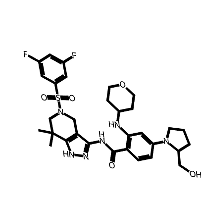 CC1(C)CN(S(=O)(=O)c2cc(F)cc(F)c2)Cc2c(NC(=O)c3ccc(N4CCCC4CO)cc3NC3CCOCC3)n[nH]c21